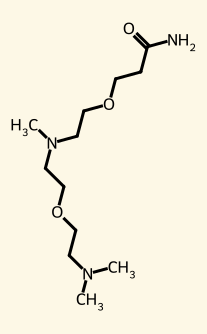 CN(C)CCOCCN(C)CCOCCC(N)=O